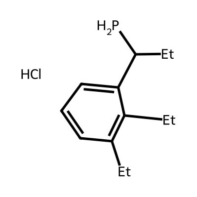 CCc1cccc(C(P)CC)c1CC.Cl